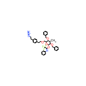 C[C@@H]1C(OCc2ccccc2)[C@H](O/C(=N/c2ccccc2)C(F)(F)F)OC(COCCc2ccc(CCN=[N+]=[N-])cc2)[C@@H]1OCc1ccccc1